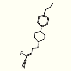 CCCc1ccc([C@H]2CC[C@H](CCC=C(F)C#N)CC2)cc1